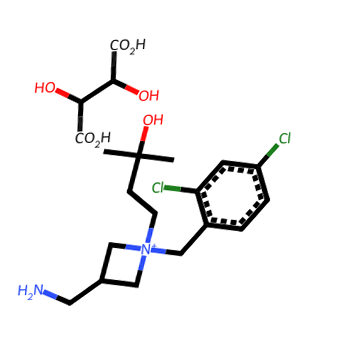 CC(C)(O)CC[N+]1(Cc2ccc(Cl)cc2Cl)CC(CN)C1.O=C(O)C(O)C(O)C(=O)O